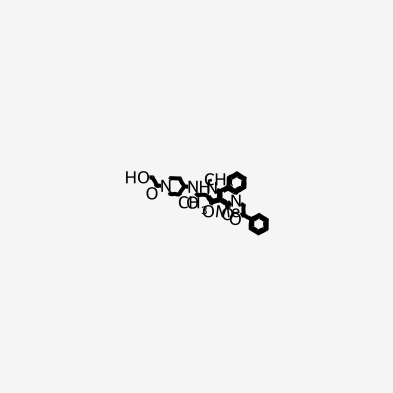 COc1c(C(=O)NC2CCN(C(=O)CO)CC2C)n(C)c2c1c(=O)n(CC(=O)c1ccccc1)c1ccccc21